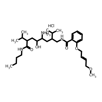 CCCCNC(=O)C(CC(O)C(N)CC(CNC(=O)c1ccccc1OCC=CCOC)C(C)C)C(C)C.Cl